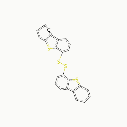 c1ccc2c(c1)sc1c(SSc3cccc4c3sc3ccccc34)cccc12